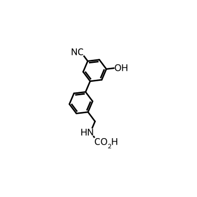 N#Cc1cc(O)cc(-c2cccc(CNC(=O)O)c2)c1